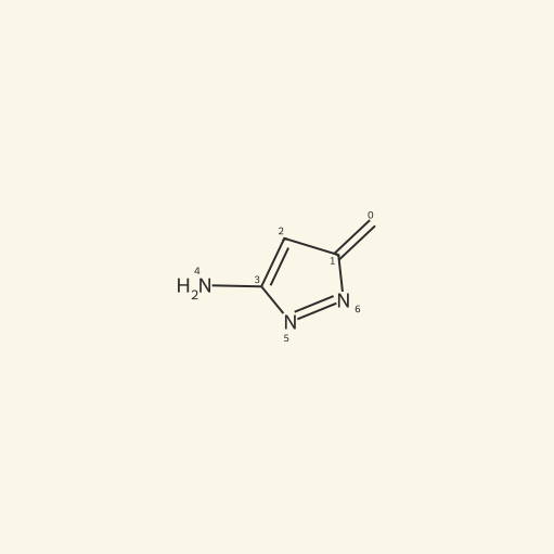 C=C1C=C(N)N=N1